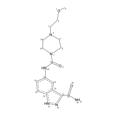 COCCN1CCN(C(=O)Nc2ccc3[nH]nc(C(N)=O)c3c2)CC1